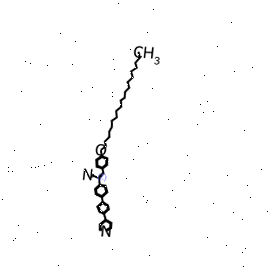 CCCCCCCCCCCCCCCCCCCCOc1ccc(/C=C(\C#N)c2ccc(-c3ccc(-c4ccncc4)cc3)cc2)cc1